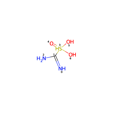 N=C(N)[SH](=O)(O)O